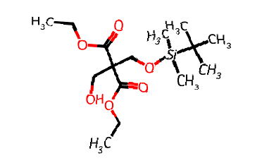 CCOC(=O)C(CO)(CO[Si](C)(C)C(C)(C)C)C(=O)OCC